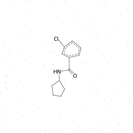 O=C(NC1CCCC1)c1cccc(Cl)c1